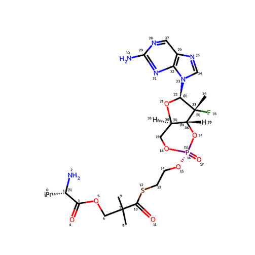 CC(C)[C@H](N)C(=O)OCC(C)(C)C(=O)SCCO[P@]1(=O)OC[C@H]2O[C@@H](n3cnc4cnc(N)nc43)[C@](C)(F)[C@@H]2O1